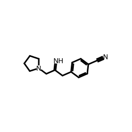 N#Cc1ccc(CC(=N)CN2CCCC2)cc1